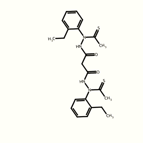 CCc1ccccc1N(NC(=O)CC(=O)NN(C(C)=S)c1ccccc1CC)C(C)=S